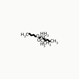 CCCCCOC(=O)NC(C)(C)[C@@H](C)CCC